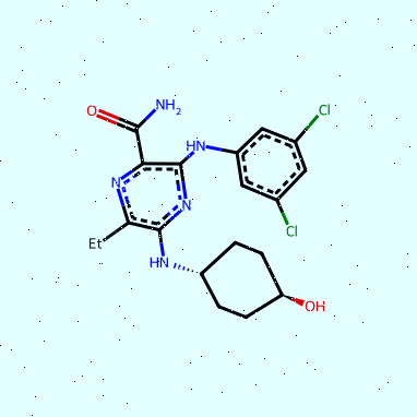 CCc1nc(C(N)=O)c(Nc2cc(Cl)cc(Cl)c2)nc1N[C@H]1CC[C@H](O)CC1